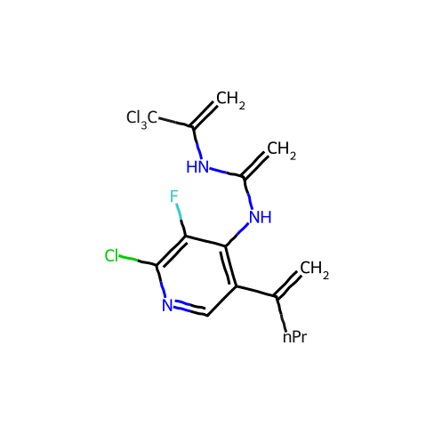 C=C(NC(=C)C(Cl)(Cl)Cl)Nc1c(C(=C)CCC)cnc(Cl)c1F